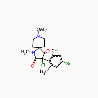 CON1CCC2(CC1)C(=O)C(Cl)(c1c(C)cc(Br)cc1C)C(=O)N2C